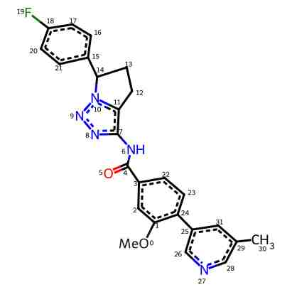 COc1cc(C(=O)Nc2nnn3c2CCC3c2ccc(F)cc2)ccc1-c1cncc(C)c1